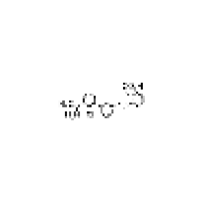 C[C@@H](N)c1cccc(-c2cccc(COc3ccccc3CC(=O)O)c2)c1Cl